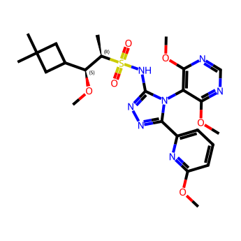 COc1cccc(-c2nnc(NS(=O)(=O)[C@H](C)[C@@H](OC)C3CC(C)(C)C3)n2-c2c(OC)ncnc2OC)n1